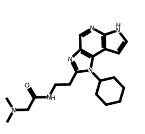 CN(C)CC(=O)NCCc1nc2cnc3[nH]ccc3c2n1C1CCCCC1